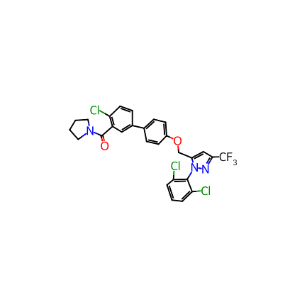 O=C(c1cc(-c2ccc(OCc3cc(C(F)(F)F)nn3-c3c(Cl)cccc3Cl)cc2)ccc1Cl)N1CCCC1